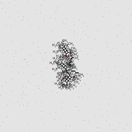 CC=C(C=C(C)[Si](C)(C)OC12C3(O[SiH2]C)C4(O[SiH2]C)C5(O[SiH2]C)C3(O[SiH2]C)C1(O[Si](C)(C)C)C5(O[Si](C)(C)C(C)=CC=C(C)[Si](C)(C)OC13C5(O[SiH2]C)C6(O[SiH2]C)C7(O[SiH2]C)C5(O[SiH2]C)C1(O[Si](C)(C)C)C7(O[Si](C)(C)C)C63O[Si](C)(C)C)C42O[Si](C)(C)C)[Si](C)(C)OC12C3(O[SiH2]C)C4(O[SiH](C)C)C5(O[SiH](C)C)C3(O[SiH](C)C)C1(O[Si](C)(C)C)C5(O[Si](C)(C)C)C42O[Si](C)(C)C